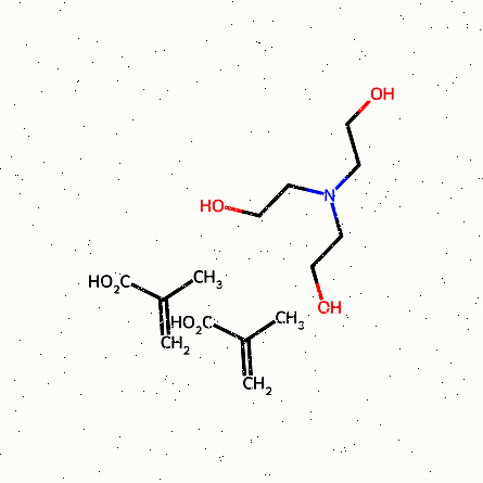 C=C(C)C(=O)O.C=C(C)C(=O)O.OCCN(CCO)CCO